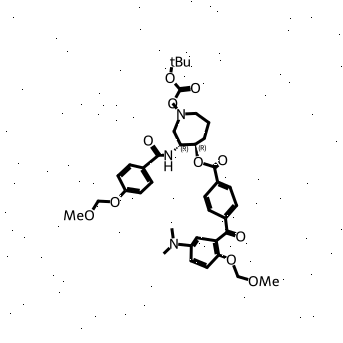 COCOc1ccc(C(=O)N[C@@H]2CN(OC(=O)OC(C)(C)C)CCC[C@H]2OC(=O)c2ccc(C(=O)c3cc(N(C)C)ccc3OCOC)cc2)cc1